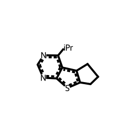 CC(C)c1ncnc2sc3c(c12)CCC3